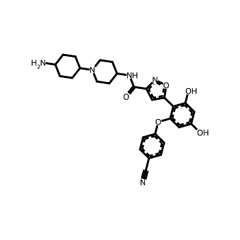 N#Cc1ccc(Oc2cc(O)cc(O)c2-c2cc(C(=O)NC3CCN(C4CCC(N)CC4)CC3)no2)cc1